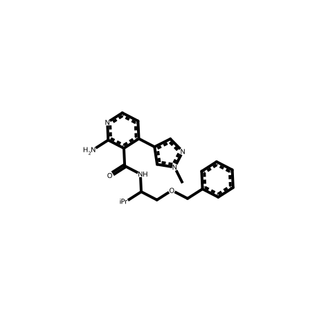 CC(C)C(COCc1ccccc1)NC(=O)c1c(-c2cnn(C)c2)ccnc1N